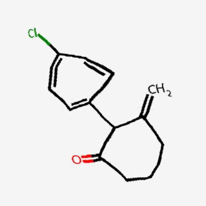 C=C1CCCC(=O)C1c1ccc(Cl)cc1